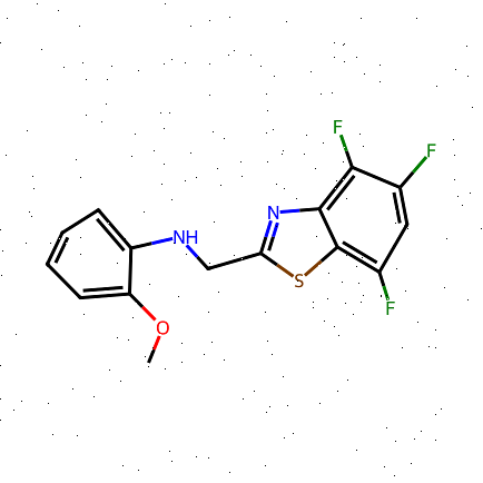 COc1ccccc1NCc1nc2c(F)c(F)cc(F)c2s1